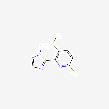 CCSc1ccc(Cl)nc1-c1nccn1C